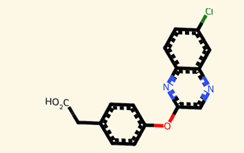 O=C(O)Cc1ccc(Oc2cnc3cc(Cl)ccc3n2)cc1